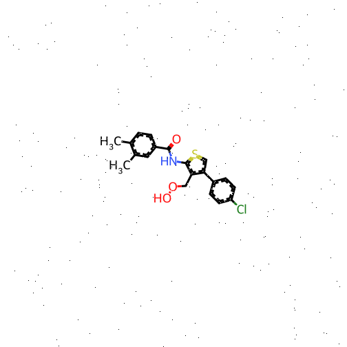 Cc1ccc(C(=O)Nc2scc(-c3ccc(Cl)cc3)c2COO)cc1C